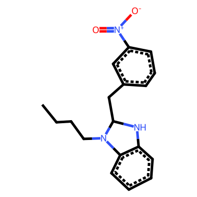 CCCCN1c2ccccc2NC1Cc1cccc([N+](=O)[O-])c1